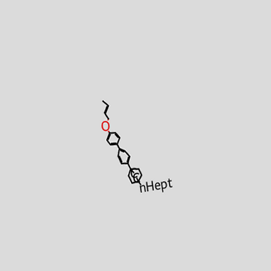 CC=CCOc1ccc(-c2ccc(C34CCC(CCCCCCC)(CC3)CC4)cc2)cc1